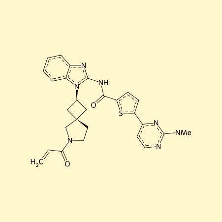 C=CC(=O)N1CC[C@]2(C1)C[C@H](n1c(NC(=O)c3ccc(-c4ccnc(NC)n4)s3)nc3ccccc31)C2